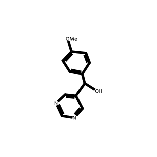 COc1ccc(C(O)c2cncnc2)cc1